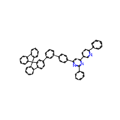 c1ccc(-c2ccc(-c3cc(-c4ccc(-c5cccc(-c6ccc7c(c6)C6(c8ccccc8-c8ccccc86)c6ccccc6-7)c5)cc4)nc(-c4ccccc4)n3)cn2)cc1